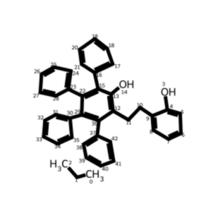 CCC.Oc1ccccc1CCc1c(O)c(-c2ccccc2)c(-c2ccccc2)c(-c2ccccc2)c1-c1ccccc1